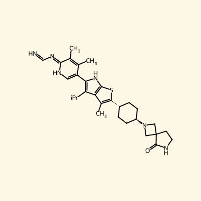 Cc1c(-c2[nH]c3sc([C@H]4CC[C@H](N5CC6(CCNC6=O)C5)CC4)c(C)c3c2C(C)C)c[nH]/c(=N\C=N)c1C